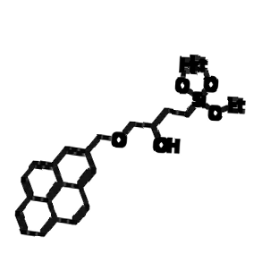 CCO[Si](CCC(O)COCc1cc2ccc3cccc4ccc(c1)c2c34)(OCC)OCC